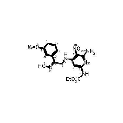 CCOC(=O)Nc1cc(NC/C(=N/O)c2cccc(OC)c2)c([N+](=O)[O-])c(N)n1